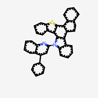 c1ccc(-c2cc(-n3c4ccccc4c4c5ccc6ccccc6c5c5sc6ccccc6c5c43)nc3ccccc23)cc1